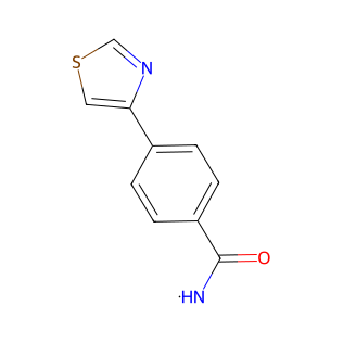 [NH]C(=O)c1ccc(-c2cscn2)cc1